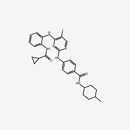 CC1CCC(NC(=O)c2ccc(Nc3ncc(I)c(Nc4ccccc4NC(=O)C4CC4)n3)cc2)CC1